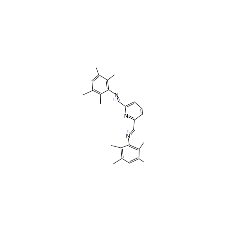 Cc1cc(C)c(C)c(/N=C/c2cccc(/C=N/c3c(C)c(C)cc(C)c3C)n2)c1C